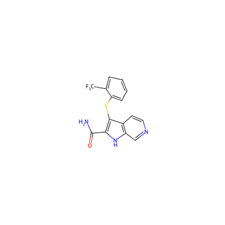 NC(=O)c1[nH]c2cnccc2c1Sc1ccccc1C(F)(F)F